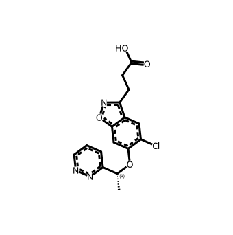 C[C@@H](Oc1cc2onc(CCC(=O)O)c2cc1Cl)c1cccnn1